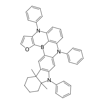 CC12CCCCC1(C)N(c1ccccc1)c1cc3c(cc12)B1c2occc2N(c2ccccc2)c2cccc(c21)N3c1ccccc1